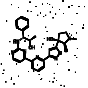 C[C@@H](O)[C@H](Nc1nccc(-c2cccc(-c3cc([C@]4(O)CCN(C)C4=O)on3)n2)n1)c1ccccc1